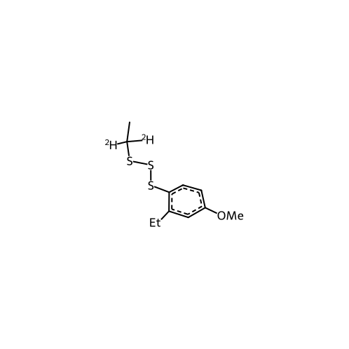 [2H]C([2H])(C)SSSc1ccc(OC)cc1CC